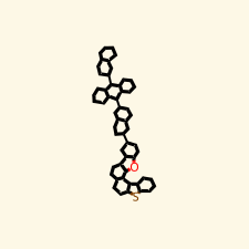 c1ccc2cc(-c3c4ccccc4c(-c4ccc5cc(-c6ccc7oc8c(ccc9ccc%10sc%11ccccc%11c%10c98)c7c6)ccc5c4)c4ccccc34)ccc2c1